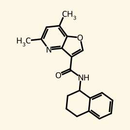 Cc1cc(C)c2occ(C(=O)NC3CCCc4ccccc43)c2n1